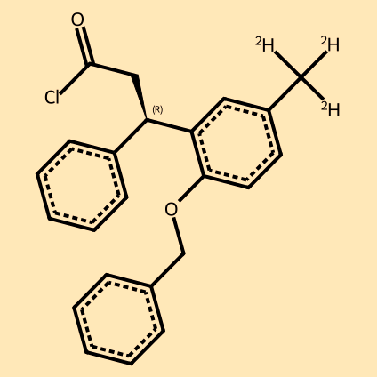 [2H]C([2H])([2H])c1ccc(OCc2ccccc2)c([C@H](CC(=O)Cl)c2ccccc2)c1